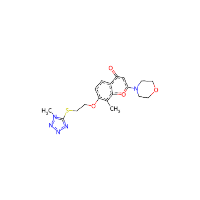 Cc1c(OCCSc2nnnn2C)ccc2c(=O)cc(N3CCOCC3)oc12